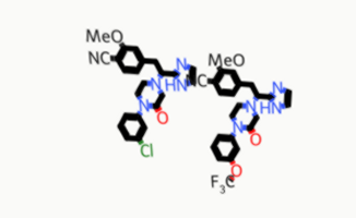 COc1cc(CC(c2ncc[nH]2)N2CCN(c3cccc(Cl)c3)C(=O)C2)ccc1C#N.COc1cc(CC(c2ncc[nH]2)N2CCN(c3cccc(OC(F)(F)F)c3)C(=O)C2)ccc1C#N